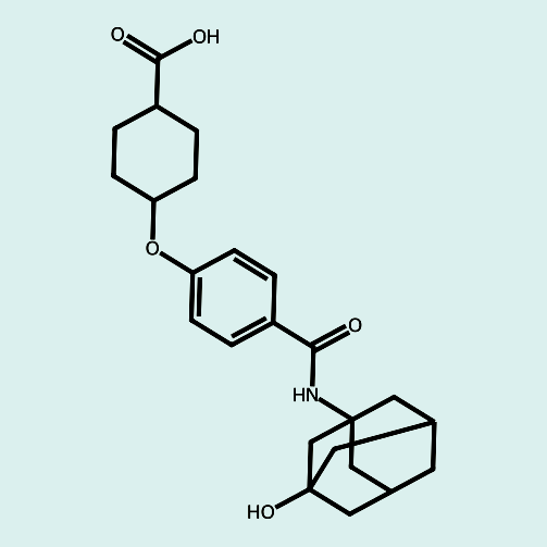 O=C(NC12CC3CC(CC(O)(C3)C1)C2)c1ccc(OC2CCC(C(=O)O)CC2)cc1